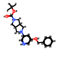 CC(C)(C)OC(=O)N1CC2CN(c3cncc(OCc4ccccc4)c3)CC2C1